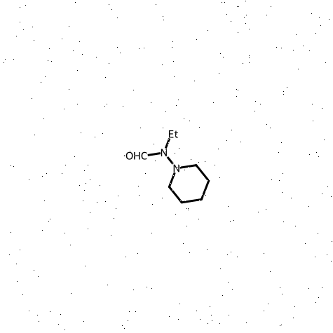 CCN([C]=O)N1CCCCC1